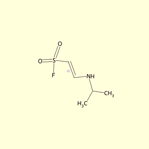 CC(C)N/C=C/S(=O)(=O)F